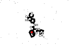 Cn1nccc1C(=O)NC(C(=O)Nc1ccc2c(c1)NC(=O)C21CCOCC1)C1C2CC3CC(C2)CC1C3